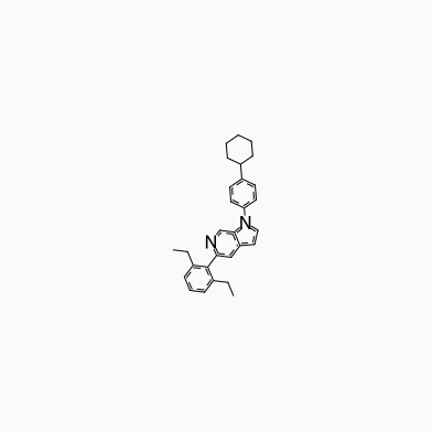 CCc1cccc(CC)c1-c1cc2ccn(-c3ccc(C4CCCCC4)cc3)c2cn1